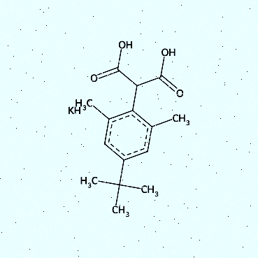 Cc1cc(C(C)(C)C)cc(C)c1C(C(=O)O)C(=O)O.[KH]